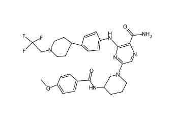 COc1ccc(C(=O)NC2CCCN(c3cnc(C(N)=O)c(Nc4ccc(C5CCN(CC(F)(F)F)CC5)cc4)n3)C2)cc1